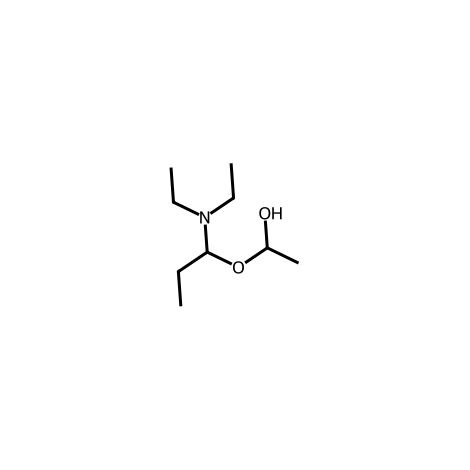 CCC(OC(C)O)N(CC)CC